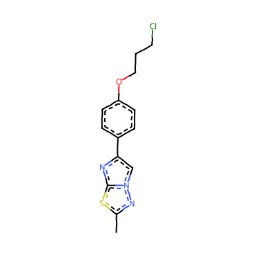 Cc1nn2cc(-c3ccc(OCCCCl)cc3)nc2s1